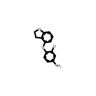 Nc1ccc(Oc2cccc3c2CCO3)c(Cl)c1